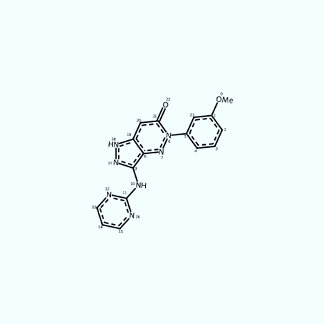 COc1cccc(-n2nc3c(Nc4ncccn4)n[nH]c3cc2=O)c1